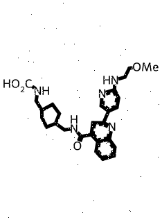 COCCNc1ccc(-c2cc(C(=O)NCC3CCC(CNC(=O)O)CC3)c3ccccc3n2)cn1